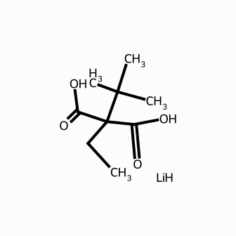 CCC(C(=O)O)(C(=O)O)C(C)(C)C.[LiH]